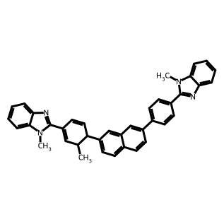 CC1C=C(c2nc3ccccc3n2C)C=CC1c1ccc2ccc(-c3ccc(-c4nc5ccccc5n4C)cc3)cc2c1